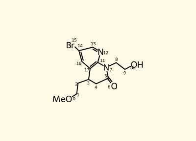 COCCC1CC(=O)N(CCO)c2ncc(Br)cc21